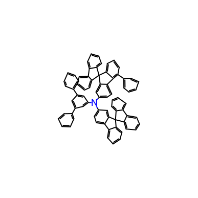 c1ccc(-c2cc(-c3ccccc3)cc(N(c3ccc4c(c3)C3(c5ccccc5-c5ccccc53)c3ccccc3-4)c3ccc4c(c3)C3(c5ccccc5-c5ccccc53)c3cccc(-c5ccccc5)c3-4)c2)cc1